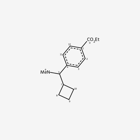 CCOC(=O)c1ccc(C(NC)C2CCC2)cc1